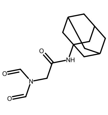 O=CN(C=O)CC(=O)NC12CC3CC(CC(C3)C1)C2